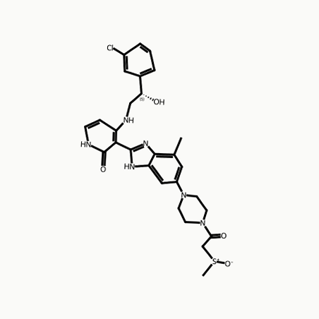 Cc1cc(N2CCN(C(=O)C[S+](C)[O-])CC2)cc2[nH]c(-c3c(NC[C@@H](O)c4cccc(Cl)c4)cc[nH]c3=O)nc12